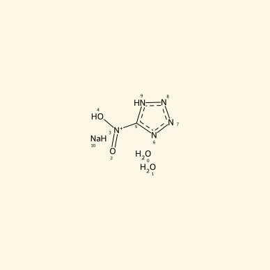 O.O.O=[N+](O)c1nnn[nH]1.[NaH]